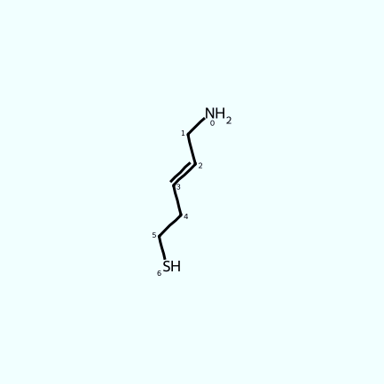 NCC=CCCS